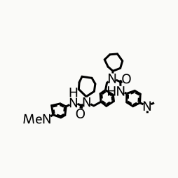 CNc1ccc(NC(=O)N(Cc2cccc(CN(C(=O)Nc3ccc(N(C)C)cc3)C3CCCCCC3)c2)C2CCCCCC2)cc1